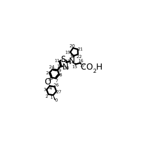 C[C@H]1CC[C@H](Oc2ccc(-c3csc(N(CCC(=O)O)C4CCCC4)n3)cc2)CC1